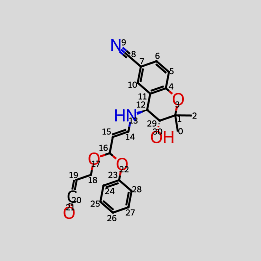 CC1(C)Oc2ccc(C#N)cc2[C@H](N/C=C/C(OCC=C=O)Oc2ccccc2)[C@H]1O